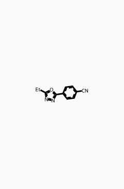 CCc1nnc(-c2ccc(C#N)cc2)o1